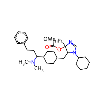 CCCC1(OC(=O)OC)N=CN(C2CCCCC2)C1CC1CCC(C(CCc2ccccc2)N(C)C)CC1